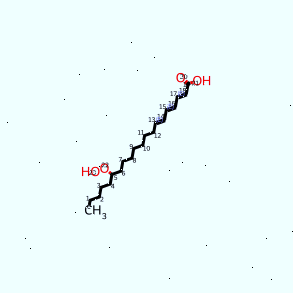 CCCCCC(CCCCCCC/C=C/C=C/C=C/C(=O)O)OO